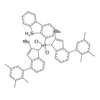 Cc1cc(C)c(C)c(-c2cccc3c2C=C(C(C)(C)C)[CH]3[Hf]([Cl])([Cl])([c]2cccc3c2[SiH2]c2ccccc2-3)[CH]2C(C(C)(C)C)=Cc3c(-c4cc(C)cc(C)c4C)cccc32)c1